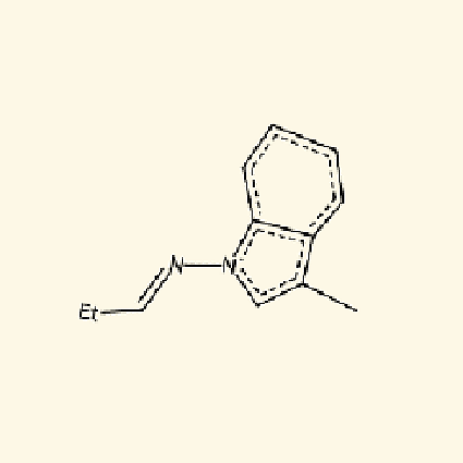 CC/C=N/n1cc(C)c2ccccc21